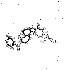 CN(C)C[C@@H]1CNc2c(sc3ccc4nc(Nc5cc(F)ncn5)ccc4c23)C(=O)N1